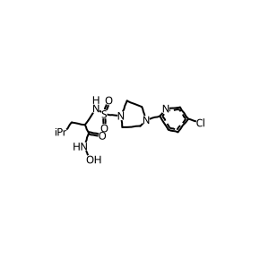 CC(C)CC(NS(=O)(=O)N1CCN(c2ccc(Cl)cn2)CC1)C(=O)NO